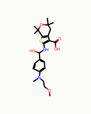 COCCN(C)c1ccc(C(O)Nc2sc3c(c2C(=O)O)CC(C)(C)OC3(C)C)cc1